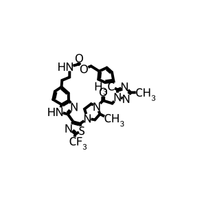 Cc1nc(C)n(CC(=O)N2CCN(c3sc(C(F)(F)F)nc3-c3nc4cc(CCNC(=O)OCc5ccccc5)ccc4[nH]3)CC2C)n1